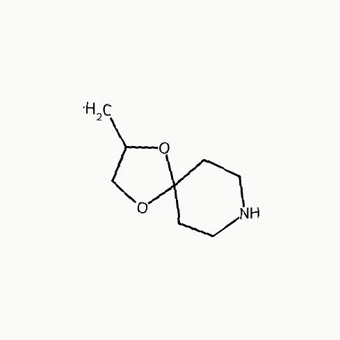 [CH2]C1COC2(CCNCC2)O1